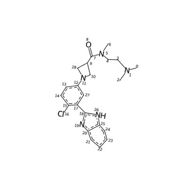 CN(C)CCN(C)C(=O)C1CN(c2ccc(Cl)c(-c3nc4ccccc4[nH]3)c2)C1